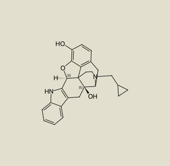 Oc1ccc2c3c1O[C@@H]1c4[nH]c5ccccc5c4C[C@@]4(O)C(C2)N(CC2CC2)CCC314